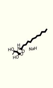 CCCCCCCCCCCC(=O)N[C@H](C(=O)O)[C@@H](C)O.[NaH]